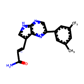 Cc1cc(-c2cnc3[nH]cc(/C=C/C(N)=O)c3n2)cc(C(F)(F)F)c1